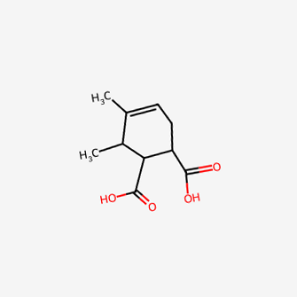 CC1=CCC(C(=O)O)C(C(=O)O)C1C